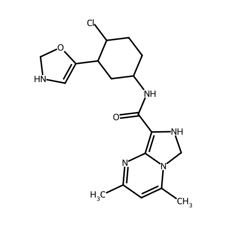 CC1=CC(C)=NC2=C(C(=O)NC3CCC(Cl)C(C4=CNCO4)C3)NCN12